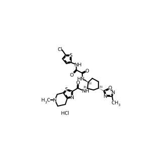 Cc1noc([C@H]2CC[C@H](NC(=O)C(=O)Nc3ccc(Cl)s3)[C@H](NC(=O)c3nc4c(s3)CN(C)CC4)C2)n1.Cl